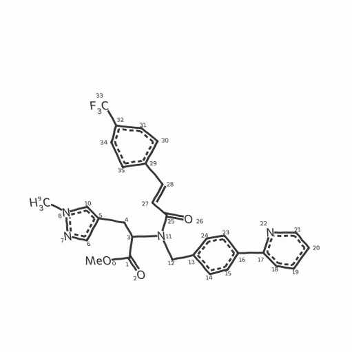 COC(=O)C(Cc1cnn(C)c1)N(Cc1ccc(-c2ccccn2)cc1)C(=O)C=Cc1ccc(C(F)(F)F)cc1